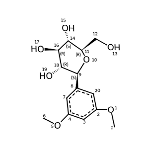 COc1cc(OC)cc([C@@H]2O[C@H](CO)[C@@H](O)[C@H](O)[C@H]2O)c1